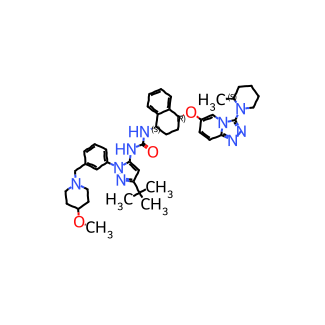 COC1CCN(Cc2cccc(-n3nc(C(C)(C)C)cc3NC(=O)N[C@H]3CC[C@@H](Oc4ccc5nnc(N6CCCC[C@@H]6C)n5c4)c4ccccc43)c2)CC1